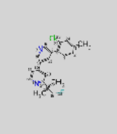 Cc1ccc(-c2cncc(-c3ccnc(C(C)(C)CF)c3)c2)c(Cl)c1